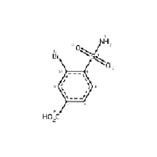 NS(=O)(=O)c1ccc(C(=O)O)cc1Br